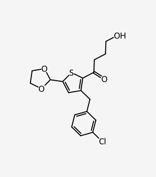 O=C(CCCO)c1sc(C2OCCO2)cc1Cc1cccc(Cl)c1